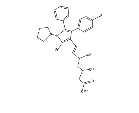 COC(=O)CC(O)CC(O)C=Cc1c(-c2ccc(F)cc2)c(-c2ccccc2)n(N2CCCC2)c1C(C)C